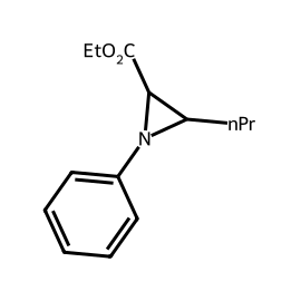 CCCC1C(C(=O)OCC)N1c1ccccc1